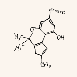 CCCCCc1cc(O)c2c(c1)OC(C)(C)C1=C2C=C(C)C1